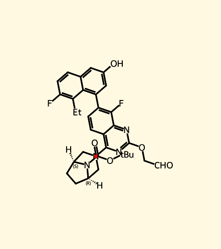 CCc1c(F)ccc2cc(O)cc(-c3ccc4c(N5C[C@H]6CC[C@@H](C5)N6C(=O)OC(C)(C)C)nc(OCC=O)nc4c3F)c12